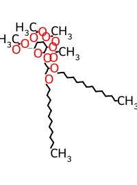 CCCCCCCCCCCCCCOCC(CO[C@@H]1O[C@H](COC(C)=O)[C@@H](OC(C)=O)[C@H](OC(C)=O)[C@H]1OC(C)=O)OCCCCCCCCCCCCCC